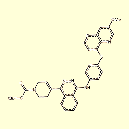 COc1cnc2c(Sc3ccc(Nc4nnc(C5=CCN(C(=O)OC(C)(C)C)CC5)c5ccccc45)cc3)ccnc2c1